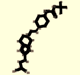 CC(C)(C)OC(=O)N[C@H]1CC[C@H](CCN2CCc3sc(OCC(F)F)nc3C2)CC1